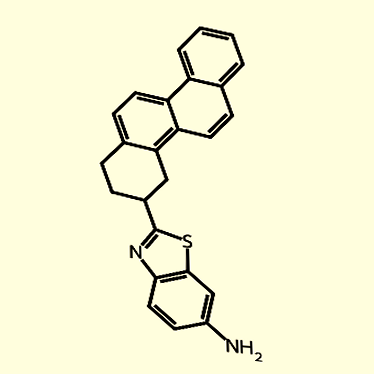 Nc1ccc2nc(C3CCc4ccc5c(ccc6ccccc65)c4C3)sc2c1